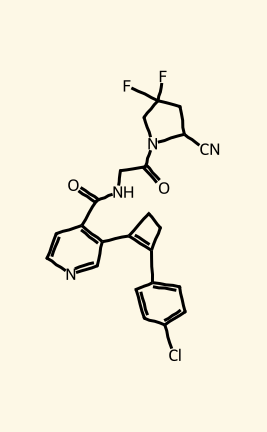 N#CC1CC(F)(F)CN1C(=O)CNC(=O)c1ccncc1C1=C(c2ccc(Cl)cc2)CC1